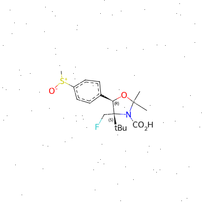 C[S+]([O-])c1ccc([C@H]2OC(C)(C)N(C(=O)O)[C@@]2(CF)C(C)(C)C)cc1